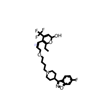 CCC1=C(/C=C\COCCCCN2CCC(c3noc4cc(F)ccc34)CC2)C(C(F)(F)F)=CC(O)O1